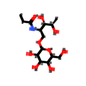 CCC(=O)N[C@H](COC1OC(CO)C(O)C(O)C1O)[C@H](O)[C@H](C)O